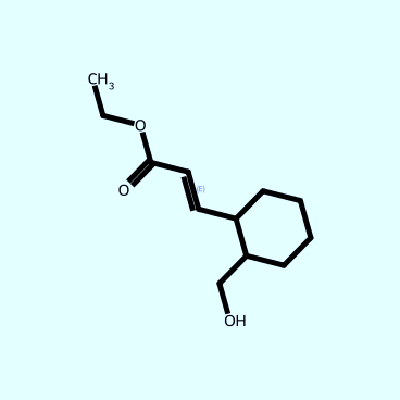 CCOC(=O)/C=C/C1CCCCC1CO